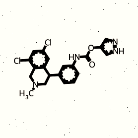 CN1Cc2c(Cl)cc(Cl)cc2C(c2cccc(NC(=O)Oc3cn[nH]c3)c2)C1